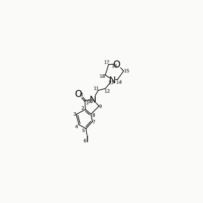 O=C1c2ccc(I)cc2CN1CCN1CCOCC1